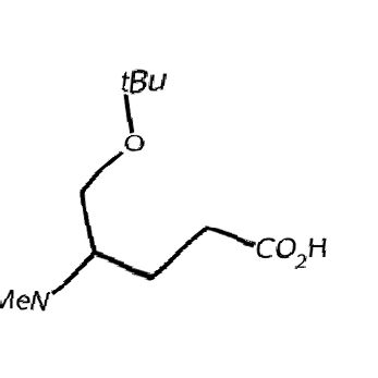 CNC(CCC(=O)O)COC(C)(C)C